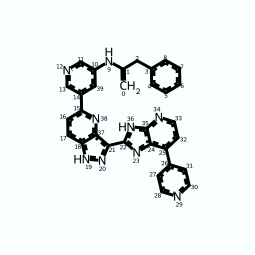 C=C(Cc1ccccc1)Nc1cncc(-c2ccc3[nH]nc(-c4nc5c(-c6ccncc6)ccnc5[nH]4)c3n2)c1